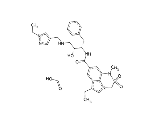 CCc1cn2c3c(cc(C(=O)N[C@@H](Cc4ccccc4)[C@H](O)CNCc4cnn(CC)c4)cc13)N(C)S(=O)(=O)C2.O=CO